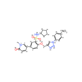 Cn1cc(-c2ccc(OCc3cn(-c4ccc([N+](=O)[O-])cc4)nn3)c(S(=O)(=O)NC3CCCC3)c2)ccc1=O